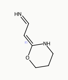 N=C/C=C1\NCCCO1